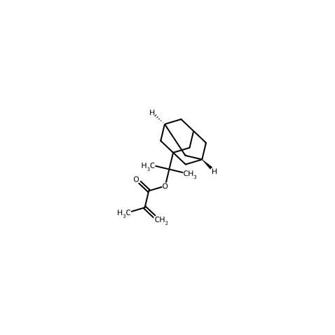 C=C(C)C(=O)OC(C)(C)C12CC3C[C@H](C1)C[C@H](C3)C2